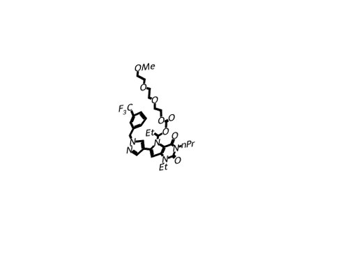 CCCn1c(=O)c2c(cc(-c3cnn(Cc4cccc(C(F)(F)F)c4)c3)n2C(CC)OC(=O)OCCOCCOCCOC)n(CC)c1=O